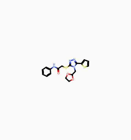 O=C(CSc1nnc(-c2cccs2)n1CC1OCCO1)Nc1ccccc1